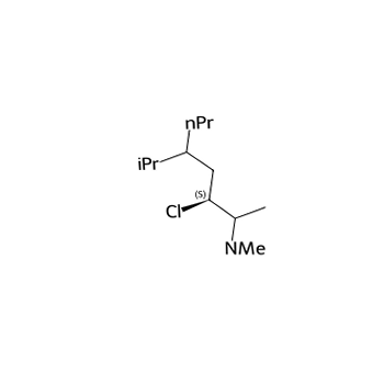 CCCC(C[C@H](Cl)C(C)NC)C(C)C